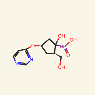 O=[PH](O)C1(O)C[C@H](Oc2ccncn2)C[C@@H]1CO